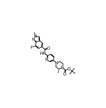 C[C@H]1CN(c2ccc(NC(=O)c3cc(F)c4nn(C)cc4c3)nc2)CCN1C(=O)OC(C)(C)C